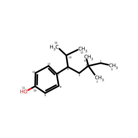 CCC(C)(C)CC(c1ccc(O)cc1)C(C)C